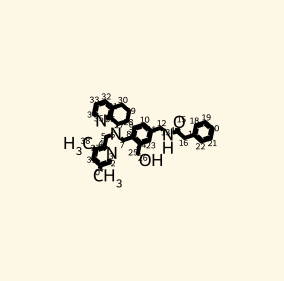 Cc1cnc(CN(Cc2ccc(CNC(=O)Cc3ccccc3)cc2CO)[C@H]2CCCc3cccnc32)c(C)c1